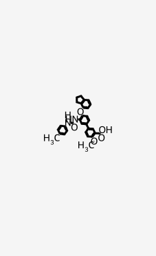 COc1ccc(-c2ccc(Oc3cccc4c3CCC4)c(NC(=O)Nc3ccc(C)cc3)c2)cc1C(=O)O